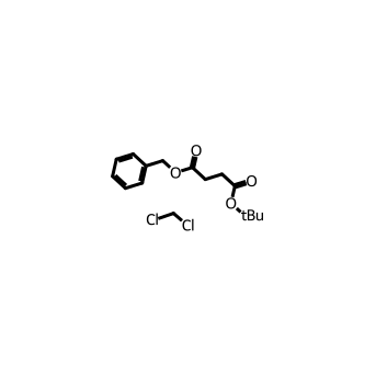 CC(C)(C)OC(=O)CCC(=O)OCc1ccccc1.ClCCl